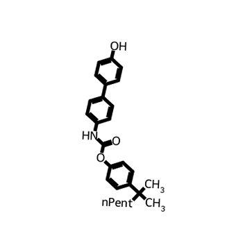 CCCCCC(C)(C)c1ccc(OC(=O)Nc2ccc(-c3ccc(O)cc3)cc2)cc1